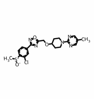 Cc1cnc(N2CCC(OCc3nc(-c4ccc([S+](C)[O-])c(Cl)c4)no3)CC2)nc1